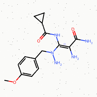 COc1ccc(CN(N)/C(NC(=O)C2CC2)=C(\N)C(N)=O)cc1